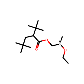 CCO[SiH](C)COC(=O)C(CC(C)(C)C)C(C)(C)C